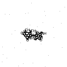 C=Nc1cc2c(OOc3cc4c5c6c(c7cc[nH]c7c7cnc8c(c9c(c%10ccsc%10c3c59)CC8=O)c76)C[S+]4[O-])cc3[nH]c4c5c6c7c8c9c(sc(C)c9c1c7c2c35)[S+]([O-])CC=8CC6CC4=O